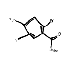 COC(=O)c1cc(F)c(C(F)(F)F)cc1Br